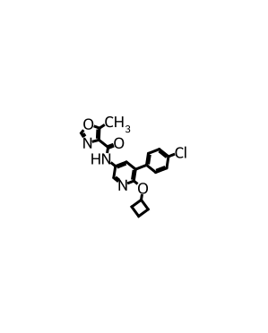 Cc1ocnc1C(=O)Nc1cnc(OC2CCC2)c(-c2ccc(Cl)cc2)c1